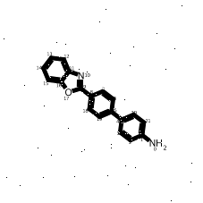 Nc1ccc(-c2ccc(-c3nc4ccccc4o3)cc2)cc1